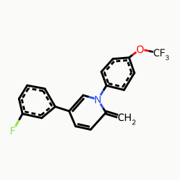 C=C1C=CC(c2cccc(F)c2)=CN1c1ccc(OC(F)(F)F)cc1